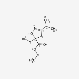 CCOC(=O)C1(CBr)CC(C(C)C)=NO1